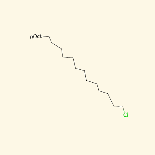 CCCCCCCCCCCCCCCCCCCCCCl